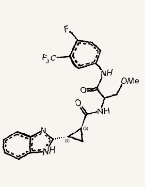 COCC(NC(=O)[C@H]1C[C@@H]1c1nc2ccccc2[nH]1)C(=O)Nc1ccc(F)c(C(F)(F)F)c1